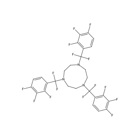 Fc1ccc(C(F)(F)N2CCN(C(F)(F)c3ccc(F)c(F)c3F)CCN(C(F)(F)c3ccc(F)c(F)c3F)CC2)c(F)c1F